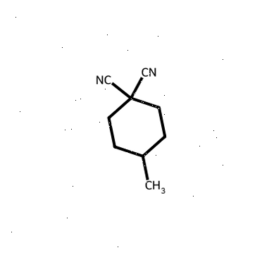 CC1CCC(C#N)(C#N)CC1